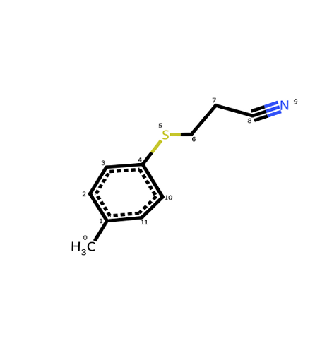 Cc1ccc(SCCC#N)cc1